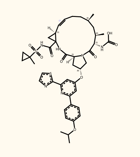 CC(C)Oc1ccc(-c2cc(O[C@@H]3C[C@H]4C(=O)NC5(C(=O)NS(=O)(=O)C6(C)CC6)C[C@H]5/C=C\CC[C@@H](C)C[C@@H](C)[C@H](NC(=O)O)C(=O)N4C3)cc(-c3nccs3)n2)cc1